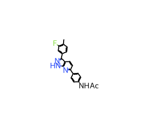 CC(=O)Nc1ccc(-c2ccc3c(-c4ccc(C)c(F)c4)n[nH]c3n2)cc1